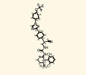 Cc1cccc(C)c1N1/C(=N/C(=O)NCC(C#N)c2ccc(-c3ncn(-c4ccc(OC(F)(F)F)cc4)n3)cc2)SCCC1C